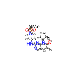 CNS(=O)(=O)N1CCC(Nc2ncc3cc(C)c(=O)n([C@H]4CCC[C@H]4C)c3n2)CC1